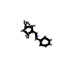 Cc1n[nH]c(/C=C/c2ccccc2)n1